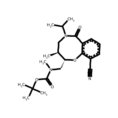 CC(C)N1C[C@H](C)[C@@H](CN(C)C(=O)OC(C)(C)C)Oc2c(C#N)cccc2C1=O